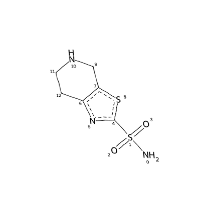 NS(=O)(=O)c1nc2c(s1)CNCC2